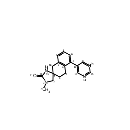 CN1CC2(CCc3c(cccc3-c3cncnc3)C2)NC1=O